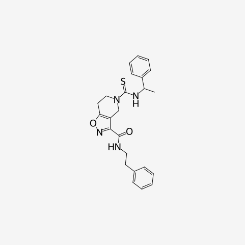 CC(NC(=S)N1CCc2onc(C(=O)NCCc3ccccc3)c2C1)c1ccccc1